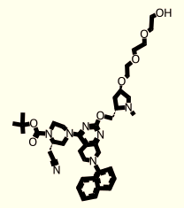 CN1C[C@H](OCCOCCOCCO)C[C@H]1COc1nc2c(c(N3CCN(C(=O)OC(C)(C)C)[C@@H](CC#N)C3)n1)CCN(c1cccc3ccccc13)C2